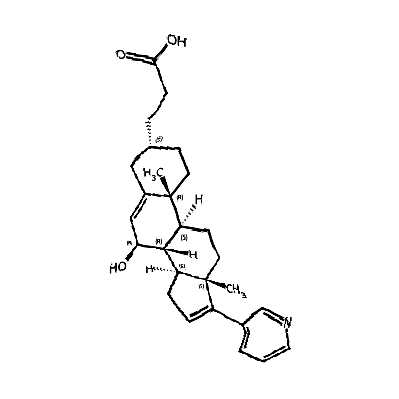 C[C@]12CC[C@@H](CCC(=O)O)CC1=C[C@H](O)[C@@H]1[C@@H]2CC[C@]2(C)C(c3cccnc3)=CC[C@@H]12